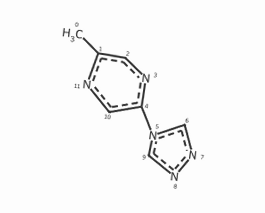 Cc1cnc(-n2cnnc2)cn1